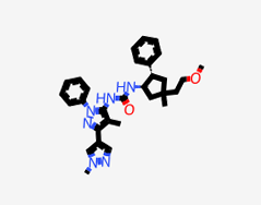 COCCC1(C)C[C@@H](NC(=O)Nc2c(C)c(-c3cnn(C)c3)nn2-c2ccccc2)[C@H](c2ccccc2)C1